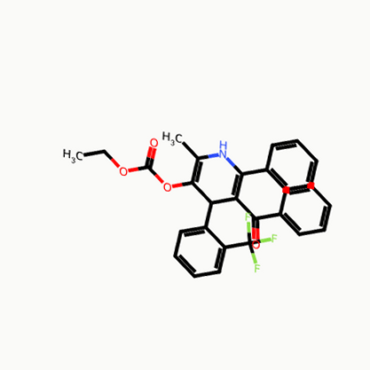 CCOC(=O)OC1=C(C)NC(c2ccccc2)=C(C(=O)c2ccccc2)C1c1ccccc1C(F)(F)F